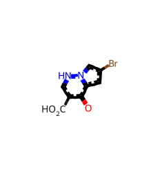 O=C(O)c1c[nH]n2cc(Br)cc2c1=O